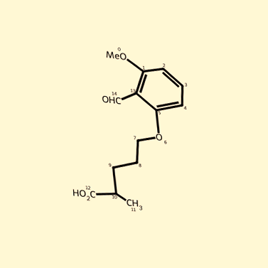 COc1cccc(OCCCC(C)C(=O)O)c1C=O